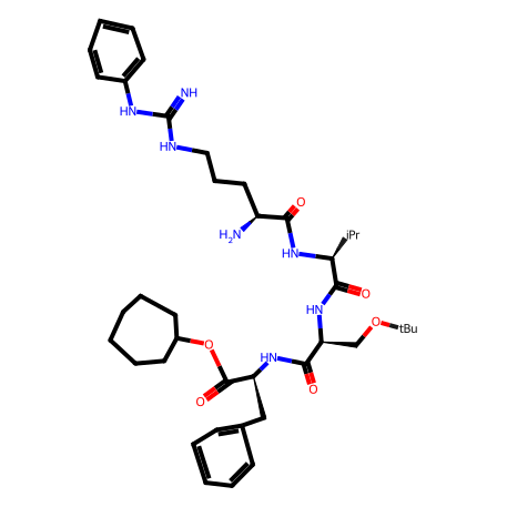 CC(C)[C@H](NC(=O)[C@@H](N)CCCNC(=N)Nc1ccccc1)C(=O)N[C@@H](COC(C)(C)C)C(=O)N[C@@H](Cc1ccccc1)C(=O)OC1CCCCCC1